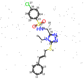 CCn1c(SC/C=C/c2ccccc2)nnc1[C@@H](C)NS(=O)(=O)c1ccc(Cl)cc1